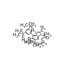 COc1c(C(C)(C)C)cc2c(c1-c1cc(C(C)(C)C)cc(C(C)(C)C)c1)C=C(C)C2S(C)(C)Cl